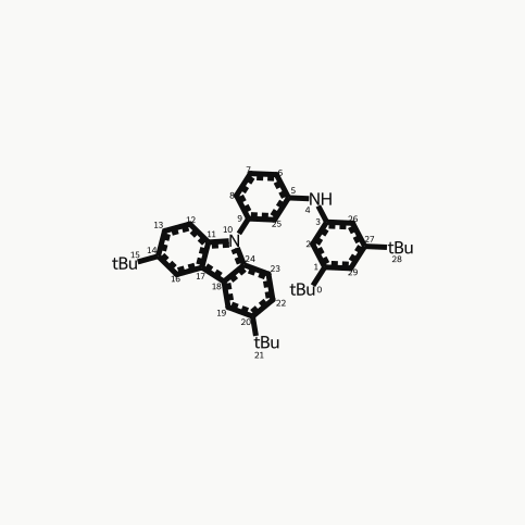 CC(C)(C)c1cc(Nc2cccc(-n3c4ccc(C(C)(C)C)cc4c4cc(C(C)(C)C)ccc43)c2)cc(C(C)(C)C)c1